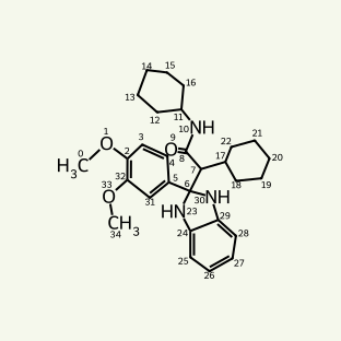 COc1ccc(C2(C(C(=O)NC3CCCCC3)C3CCCCC3)Nc3ccccc3N2)cc1OC